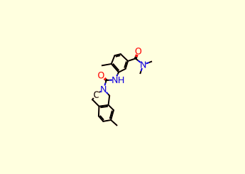 Cc1ccc2c(c1)CN(C(=O)Nc1cc(C(=O)N(C)C)ccc1C)CC2